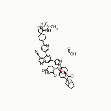 CCC1(C(=O)NC(C)C)CCN(c2ccc(-c3nc(-c4cnn(C5CCN(C(=O)CN6C7CCC6CC(c6ccc(NC8CCC(=O)NC8=O)cc6)C7)CC5)c4)cn4ncc(C#N)c34)cn2)CC1.O=CO